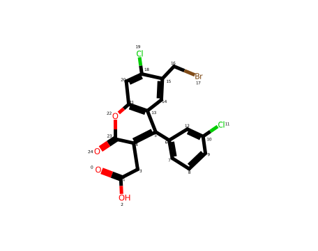 O=C(O)Cc1c(-c2cccc(Cl)c2)c2cc(CBr)c(Cl)cc2oc1=O